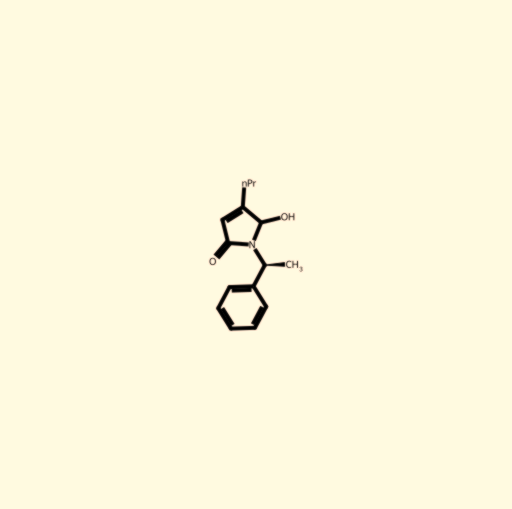 CCCC1=CC(=O)N([C@@H](C)c2ccccc2)C1O